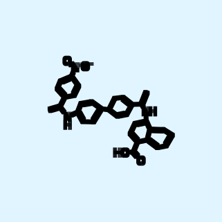 C=C(Nc1ccc(C(=O)O)c2ccccc12)C1=CCC(c2ccc(NC(=C)c3ccc([N+](=O)[O-])cc3)cc2)C=C1